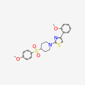 COc1ccc(S(=O)(=O)C2CCN(c3nc(-c4ccccc4OC)cs3)CC2)cc1